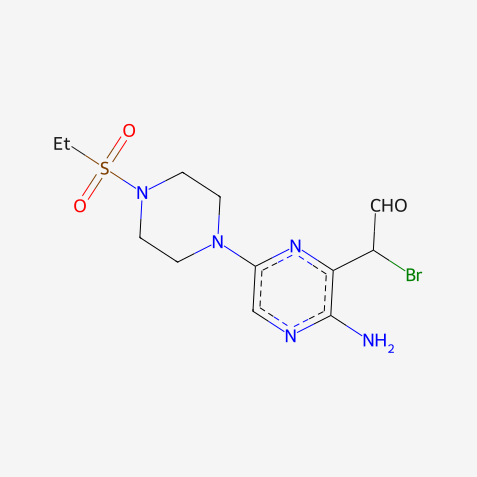 CCS(=O)(=O)N1CCN(c2cnc(N)c(C(Br)C=O)n2)CC1